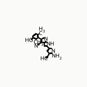 C#Cc1cc(-c2cc3c(C#N)c(-c4c(C)ccc(O)c4C)cnc3[nH]2)cnc1N